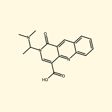 CC(N(C)C)n1cc(C(=O)O)c2nc3ccccc3cc2c1=O